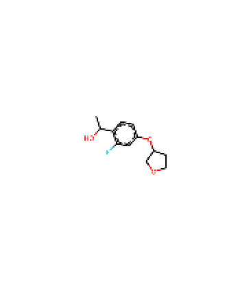 CC(O)c1ccc(OC2CCOC2)cc1F